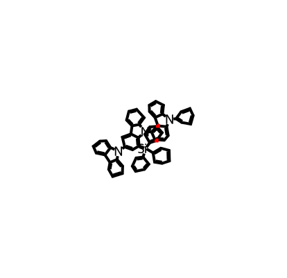 c1ccc(-n2c3ccccc3c3c(-n4c5ccccc5c5cc(-n6c7ccccc7c7ccccc76)cc([Si](c6ccccc6)(c6ccccc6)c6ccccc6)c54)cccc32)cc1